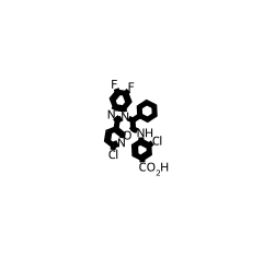 O=C(O)c1ccc(NC(=O)C(C2CCCCC2)n2c(-c3ccc(Cl)nc3)nc3cc(F)c(F)cc32)c(Cl)c1